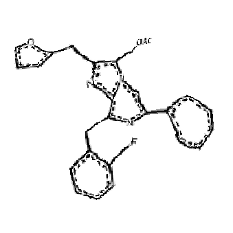 CC(=O)Oc1c(Cc2ccco2)nc2c(Cc3ccccc3F)nc(-c3ccccc3)cn12